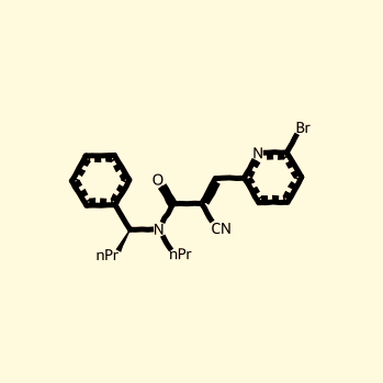 CCC[C@@H](c1ccccc1)N(CCC)C(=O)/C(C#N)=C/c1cccc(Br)n1